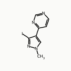 Cn1cc(-c2ccncn2)c(I)n1